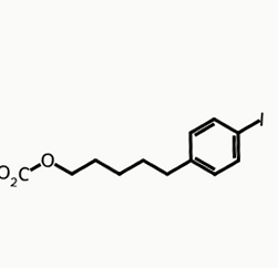 O=C(O)OCCCCCc1ccc(I)cc1